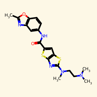 Cc1nc2cc(NC(=O)c3cc4sc(N(C)CCN(C)C)nc4s3)ccc2o1